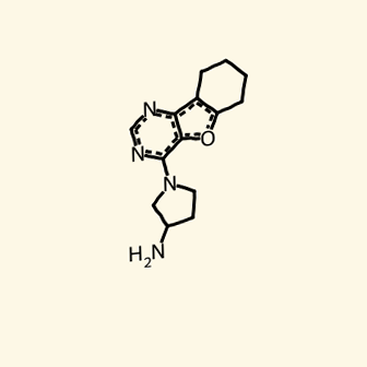 NC1CCN(c2ncnc3c4c(oc23)CCCC4)C1